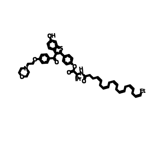 CC/C=C\C/C=C\C/C=C\C/C=C\C/C=C\C/C=C\CCC(=O)NC(C(=O)Oc1ccc(-c2sc3cc(O)ccc3c2C(=O)c2ccc(OCCN3CCOCC3)cc2)cc1)C(C)C